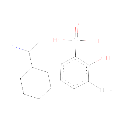 CC(=O)Nc1cccc([As](=O)(O)O)c1O.CC(N)C1CCCCC1